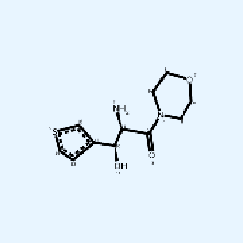 N[C@@H](C(=O)N1CCOCC1)[C@@H](O)c1ccsc1